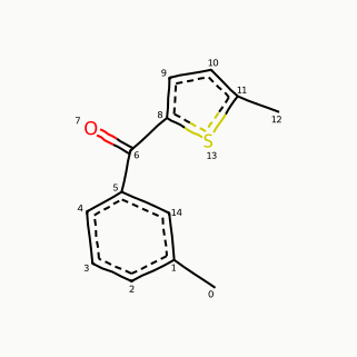 Cc1cccc(C(=O)c2ccc(C)s2)c1